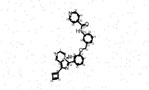 N[N+]12C=CN=CC1=C(C1=CC=C1)N=C2c1cccc(OCc2cccc(NC(=O)c3ccncc3)c2)c1